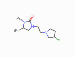 CC(C)C1CN(CCN2CCC(F)C2)C(=O)N1C(C)C